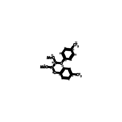 CON(Oc1ccc(C(F)(F)F)cc1)N(OC)Oc1ccc(C(F)(F)F)cc1